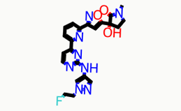 CN1CCC(O)(c2cc(-c3cccc(-c4ccnc(Nc5cnn(CCF)c5)n4)n3)no2)C1=O